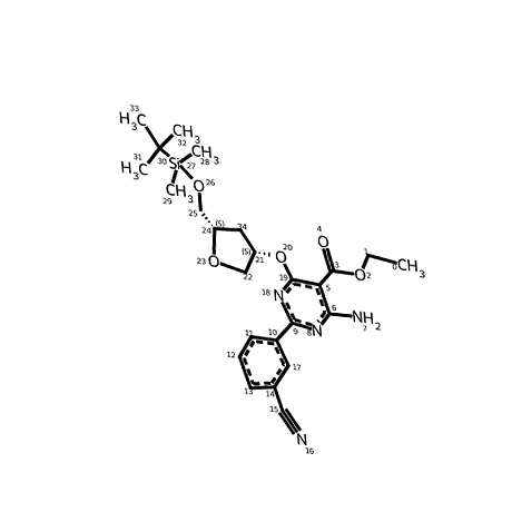 CCOC(=O)c1c(N)nc(-c2cccc(C#N)c2)nc1O[C@@H]1CO[C@H](CO[Si](C)(C)C(C)(C)C)C1